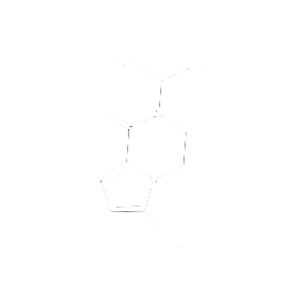 CCCC(CCC)N1CCn2c(C(=O)O)ccc2C1=O